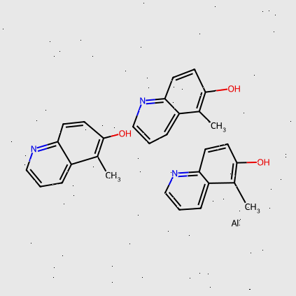 Cc1c(O)ccc2ncccc12.Cc1c(O)ccc2ncccc12.Cc1c(O)ccc2ncccc12.[Al]